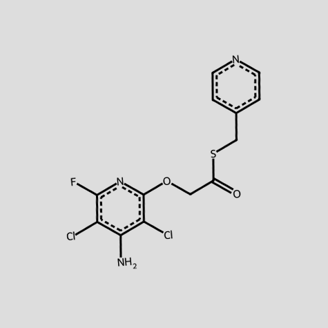 Nc1c(Cl)c(F)nc(OCC(=O)SCc2ccncc2)c1Cl